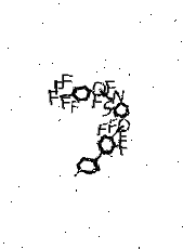 Cc1ccc(-c2cc(F)c(C(F)(F)Oc3ccc4nc(C(F)(F)Oc5cc(F)c(C(F)(F)F)c(F)c5)sc4c3)c(F)c2)cc1